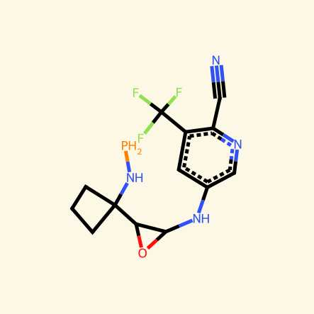 N#Cc1ncc(NC2OC2C2(NP)CCC2)cc1C(F)(F)F